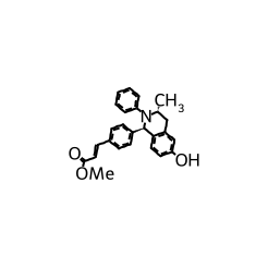 COC(=O)/C=C/c1ccc([C@@H]2c3ccc(O)cc3C[C@@H](C)N2c2ccccc2)cc1